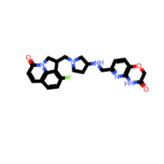 O=C1COc2ccc(CNC3CCN(CC4Cn5c(=O)ccc6ccc(F)c4c65)C3)nc2N1